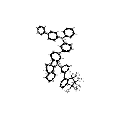 CC1(C)c2cccc(-c3cccc(-n4c5cc(-c6cccc(N(c7ccccc7)c7ccc(-c8ccccc8)cc7)c6)ccc5c5ccc6ccccc6c54)c3)c2C(C)(C)C1(C)C